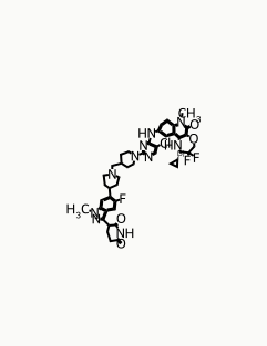 Cn1nc(C2CCC(=O)NC2=O)c2cc(F)c(C3CCN(CC4CCN(c5ncc(Cl)c(Nc6ccc7c(c6)c6c(c(=O)n7C)OCC(F)(F)[C@H](C7CC7)N6)n5)CC4)CC3)cc21